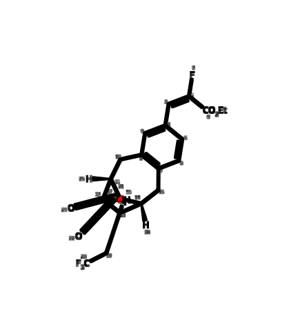 CCOC(=O)/C(F)=C\c1ccc2c(c1)C[C@H]1CC[C@@H](C2)[C@]12CN(CC(F)(F)F)S(=O)(=O)N2